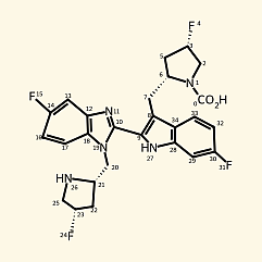 O=C(O)N1C[C@@H](F)C[C@H]1Cc1c(-c2nc3cc(F)ccc3n2C[C@@H]2C[C@H](F)CN2)[nH]c2cc(F)ccc12